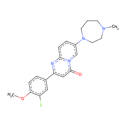 COc1ccc(-c2cc(=O)n3cc(N4CCCN(C)CC4)ccc3n2)cc1F